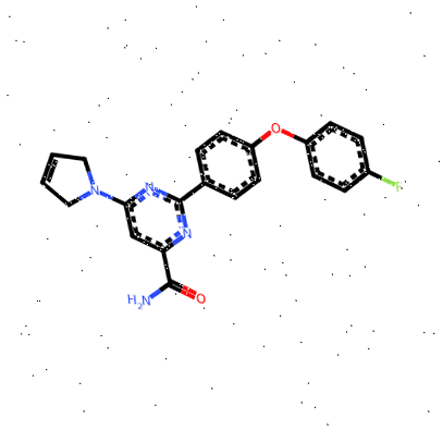 NC(=O)c1cc(N2CC=CC2)nc(-c2ccc(Oc3ccc(F)cc3)cc2)n1